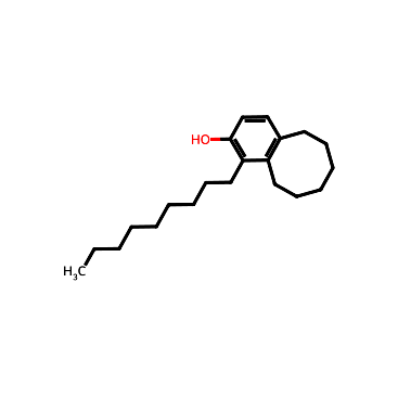 CCCCCCCCCc1c(O)ccc2c1CCCCCC2